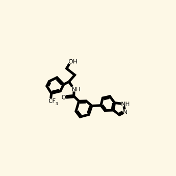 O=C(NC(CCO)c1cccc(C(F)(F)F)c1)c1cccc(-c2ccc3[nH]ncc3c2)c1